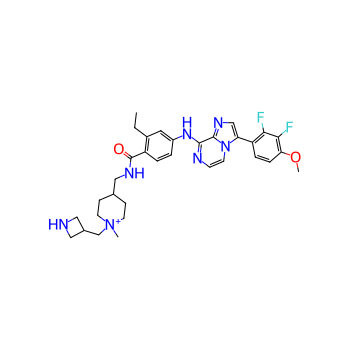 CCc1cc(Nc2nccn3c(-c4ccc(OC)c(F)c4F)cnc23)ccc1C(=O)NCC1CC[N+](C)(CC2CNC2)CC1